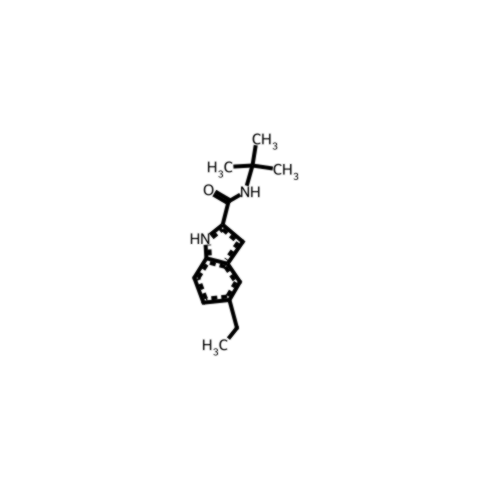 CCc1ccc2[nH]c(C(=O)NC(C)(C)C)cc2c1